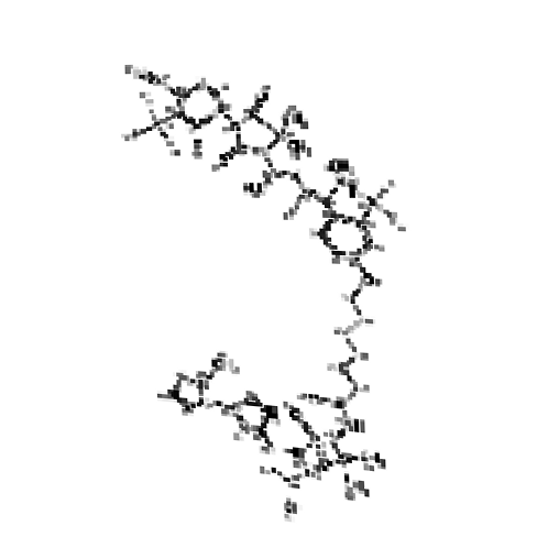 C=N/C(=C(F)\C=C(/C)N1C(=S)N(c2ccc(C#N)c(C(F)(F)F)c2F)C(=O)C1(C)C)c1ccc(OCCCCOCC(=O)N[C@H](C(=O)N2C[C@H](O)C[C@H]2c2nc(-c3cncn3C)c[nH]2)C(C)(C)C)cc1C(F)(F)F